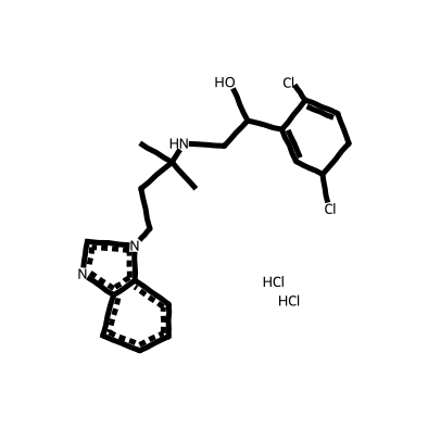 CC(C)(CCn1cnc2ccccc21)NCC(O)C1=CC(Cl)CC=C1Cl.Cl.Cl